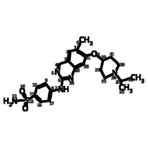 Cc1cc2cnc(Nc3ccc(S(N)(=O)=O)cc3)nc2cc1OC1CCN(C(C)C)CC1